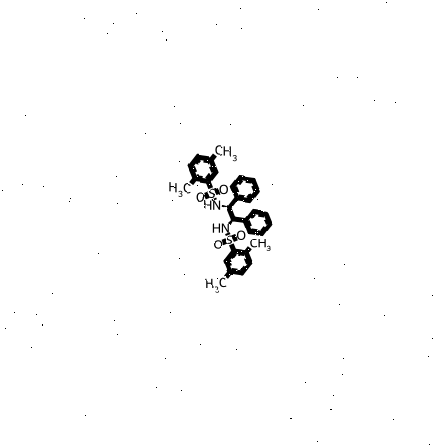 Cc1ccc(C)c(S(=O)(=O)N[C@H](c2ccccc2)[C@H](NS(=O)(=O)c2cc(C)ccc2C)c2ccccc2)c1